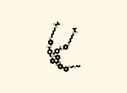 C=C(C)C(=O)OCCCCCCOc1ccc(OC(=O)C2CCC(COc3cccc(-c4nc5ccc(-c6cccc(OCCOCCC)c6)cc5nc4-c4cccc(OCC5CCC(C(=O)Oc6ccc(OCCCCCCOC(=O)C(=C)C)cc6)CC5)c4)c3)CC2)cc1